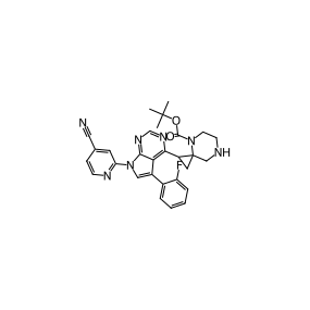 CC(C)(C)OC(=O)N1CCNCC12CC2c1ncnc2c1c(-c1ccccc1F)cn2-c1cc(C#N)ccn1